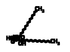 CCCCCCCCCCCCC/C=C/C(O)C(CS(=O)(=O)O)NC(=O)CCCCCCCCCCCCCCC